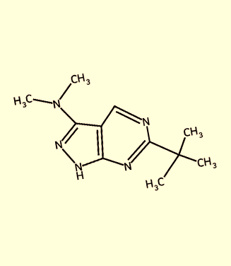 CN(C)c1n[nH]c2nc(C(C)(C)C)ncc12